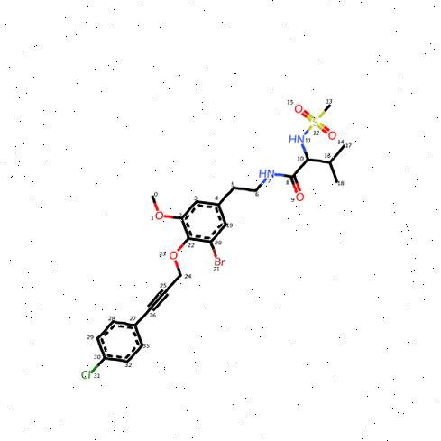 COc1cc(CCNC(=O)C(NS(C)(=O)=O)C(C)C)cc(Br)c1OCC#Cc1ccc(Cl)cc1